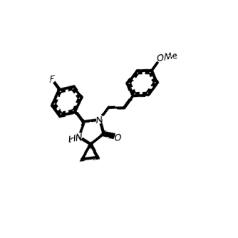 COc1ccc(CCN2C(=O)C3(CC3)NC2c2ccc(F)cc2)cc1